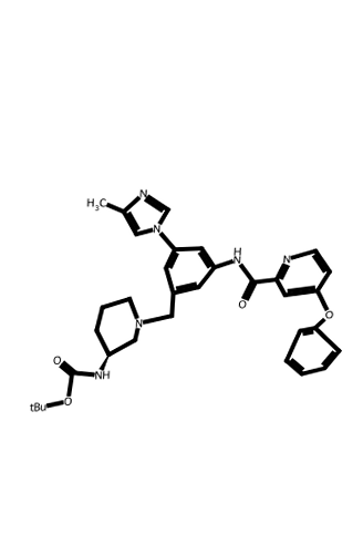 Cc1cn(-c2cc(CN3CCC[C@H](NC(=O)OC(C)(C)C)C3)cc(NC(=O)c3cc(Oc4ccccc4)ccn3)c2)cn1